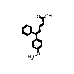 COc1ccc(C(=CC=CC(=O)O)c2ccccc2)cc1